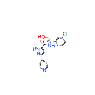 O=C(N[C@H](CO)c1cccc(Cl)c1)c1cc(-c2ccncc2)n[nH]1